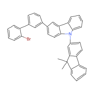 CC1(C)c2ccccc2-c2ccc(-n3c4ccccc4c4cc(-c5cccc(-c6ccccc6Br)c5)ccc43)cc21